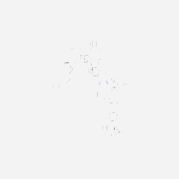 CC(C)(O)c1cn(-c2ccc(C(=C/CF)/C=C(\CCOC(=O)Cc3ccc(OP(=O)(O)O)cc3)S(C)(=O)=O)cc2F)c(C(C)(C)C/C(Cl)=C\C=C/CCl)n1